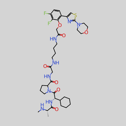 CN[C@@H](C)C(=O)N[C@H](C(=O)N1CCCC1C(=O)NCC(=O)NCCCCNC(=O)COc1c(-c2csc(N3CCOCC3)n2)ccc(F)c1F)C1CCCCC1